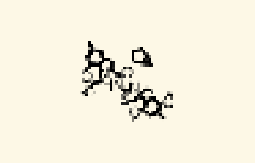 C1CC2CC2C1.CCC1(c2cc(OC)c(C)cc2OC)CSC(NC(=O)c2cc3cc(C)cc(C)c3n2CC(=O)OC)=N1